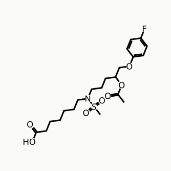 CC(=O)OC(CCCN(CCCCCCC(=O)O)S(C)(=O)=O)COc1ccc(F)cc1